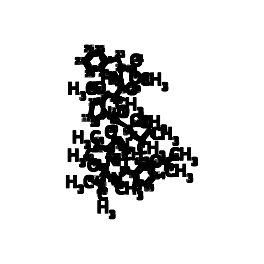 CC[C@H](C)[C@@H]([C@@H](CC(=O)N1CCC[C@H]1[C@H](OC)[C@@H](C)C(=O)N[C@@H](Cc1ccccc1)C(=O)OC)OC)N(C)C(=O)[C@@H](NC(=O)[C@H](C(C)C)N(C)Cc1cccc(OC(C)C)c1)C(C)C